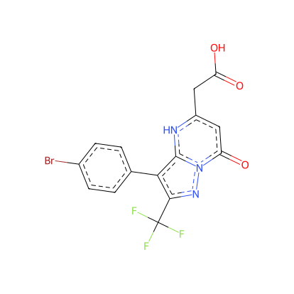 O=C(O)Cc1cc(=O)n2nc(C(F)(F)F)c(-c3ccc(Br)cc3)c2[nH]1